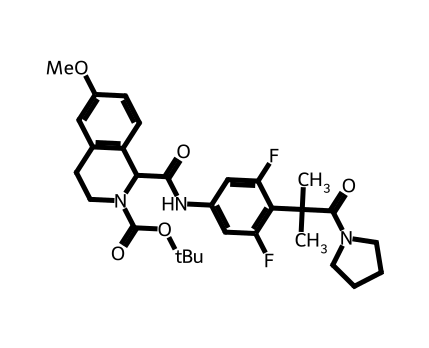 COc1ccc2c(c1)CCN(C(=O)OC(C)(C)C)C2C(=O)Nc1cc(F)c(C(C)(C)C(=O)N2CCCC2)c(F)c1